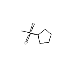 CS(=O)(=O)C1[CH]CCC1